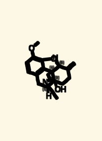 C=C1CC[C@]2(O)[C@@H]3Cc4ccc(OC)c5c4[C@]2(CCN3C)[C@@H]1O5